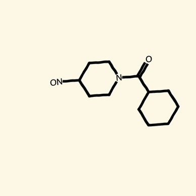 O=NC1CCN(C(=O)C2CCCCC2)CC1